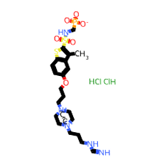 Cc1c(S(=O)(=O)NCP(=O)([O-])[O-])sc2ccc(OCCC[N+]34CC[N+](CCCNC=N)(CC3)CC4)cc12.Cl.Cl